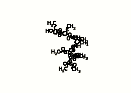 C=CCc1cc(S(=O)(=O)c2ccc(OC(=O)NCC3(C)CC(NOC(=O)CC(COCC(COC(=O)C=C)(COC(=O)C=C)COC(=O)C=C)(COC(=O)C=C)COC(=O)C=C)CC(C)(C)C3)c(CC=C)c2)ccc1O